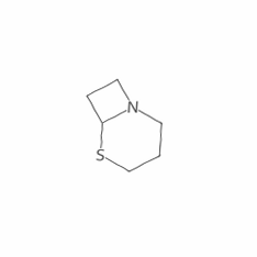 C1CSC2CCN2C1